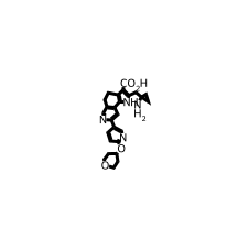 NC1(Cc2[nH]c3c(c2C(=O)O)CCc2cnc(-c4ccc(OC5CCOCC5)nc4)cc2-3)CC1